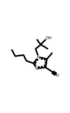 CCCCc1nc(C#N)c(C)n1CC(C)(C)O